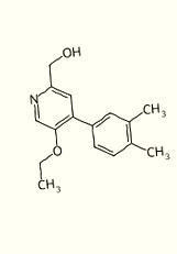 CCOc1cnc(CO)cc1-c1ccc(C)c(C)c1